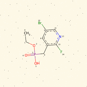 CCOP(=O)(O)Cc1cc(Br)cnc1F